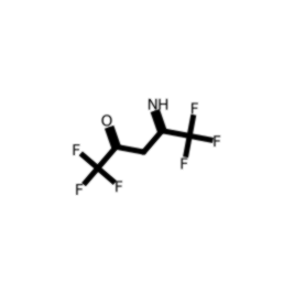 N=C(CC(=O)C(F)(F)F)C(F)(F)F